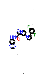 O=C(Nc1ccc2nccnc2c1)c1cnn2ccc(N3CCC[C@@H]3c3cc(F)ccc3F)cc12